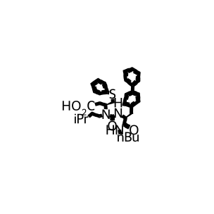 CCCCNC(=O)[C@H](Cc1ccc(-c2ccccc2)cc1)NC(=O)N(CCC(C)C)[C@H](CSc1ccccc1)CC(=O)O